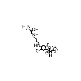 NC[C@H](O)CNCCCCNc1cc(F)c(S(=O)(=O)Nc2ncns2)cc1Cl